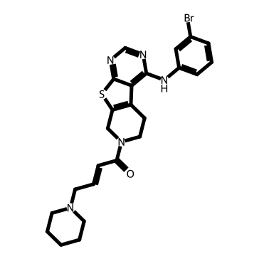 O=C(C=CCN1CCCCC1)N1CCc2c(sc3ncnc(Nc4cccc(Br)c4)c23)C1